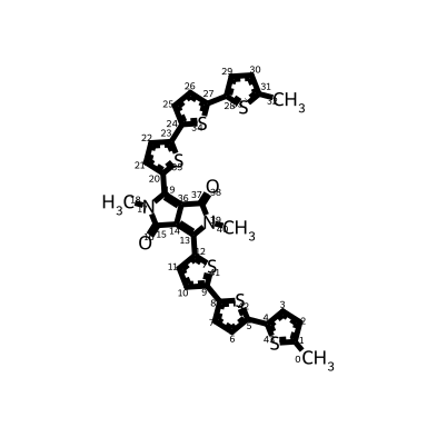 Cc1ccc(-c2ccc(-c3ccc(C4=C5C(=O)N(C)C(c6ccc(-c7ccc(-c8ccc(C)s8)s7)s6)=C5C(=O)N4C)s3)s2)s1